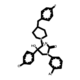 CC(=O)c1cccc(N(C[C@@](O)(CN2CCC(Cc3ccc(F)cc3)CC2)c2ccc(Cl)cc2)C(N)=O)c1